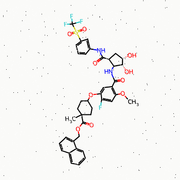 COc1cc(F)c(OC2CCC(C)(C(=O)OCc3cccc4ccccc34)CC2)cc1C(=O)N[C@@H]1[C@@H](O)[C@@H](O)C[C@@H]1C(=O)Nc1cccc(S(=O)(=O)C(F)(F)F)c1